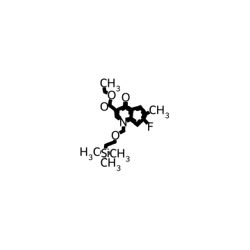 CCOC(=O)c1cn(COCC[Si](C)(C)C)c2cc(F)c(C)cc2c1=O